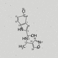 CC(NC(O)c1cc2cc(Cl)ccc2[nH]1)c1cnoc1